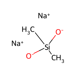 C[Si](C)([O-])[O-].[Na+].[Na+]